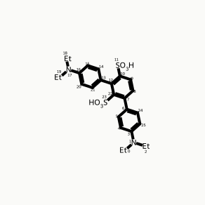 CCN(CC)c1ccc(-c2c[c]c(S(=O)(=O)O)c(-c3ccc(N(CC)CC)cc3)c2S(=O)(=O)O)cc1